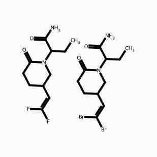 CCC(C(N)=O)N1CC(C=C(Br)Br)CCC1=O.CCC(C(N)=O)N1CC(C=C(F)F)CCC1=O